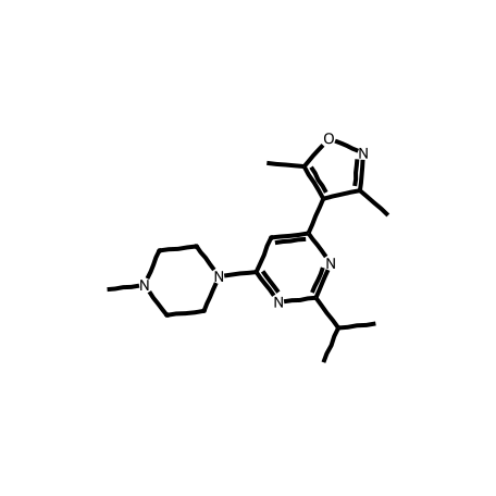 Cc1noc(C)c1-c1cc(N2CCN(C)CC2)nc(C(C)C)n1